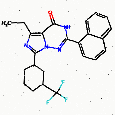 CCc1nc(C2CCCC(C(F)(F)F)C2)n2nc(-c3cccc4ccccc34)[nH]c(=O)c12